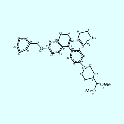 COC(OC)C1CCN(c2ccc(C3=C(C4=CCOCC4)CCc4cc(OCc5ccccc5)ccc43)cc2)CC1